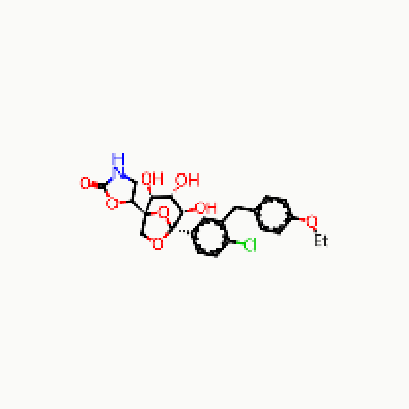 CCOc1ccc(Cc2cc([C@]34OC[C@@](C5CNC(=O)O5)(O3)[C@@H](O)[C@H](O)[C@H]4O)ccc2Cl)cc1